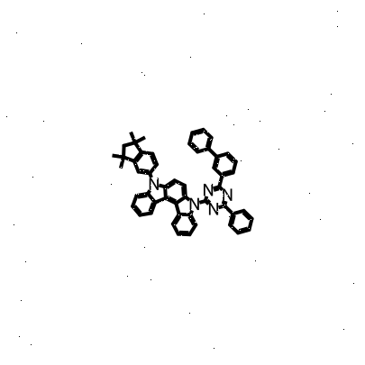 CC1(C)CC(C)(C)c2cc(-n3c4ccccc4c4c5c6ccccc6n(-c6nc(-c7ccccc7)nc(-c7cccc(-c8ccccc8)c7)n6)c5ccc43)ccc21